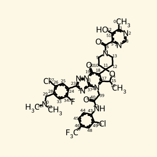 Cc1ncnc(C(=O)N2CCC3(CC2)OC(C)c2c3c(=O)n3nc(-c4cc(Cl)c(CN(C)C)cc4F)nc3n2CC(=O)Nc2ccc(C(F)(F)F)cc2Cl)c1O